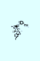 CCN(CC1(C)CN(c2cc(OC)ccn2)C1)C(=O)N1c2ccc(Cl)cc2OCC1C